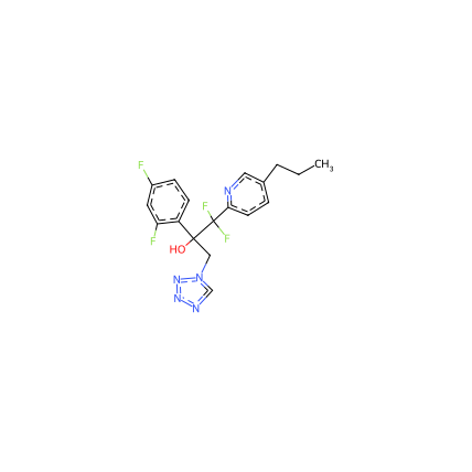 CCCc1ccc(C(F)(F)C(O)(Cn2cnnn2)c2ccc(F)cc2F)nc1